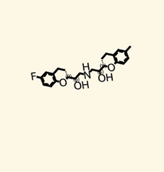 Cc1ccc2c(c1)CC[C@@H]([C@@H](O)CNC[C@H](O)[C@H]1CCc3cc(F)ccc3O1)O2